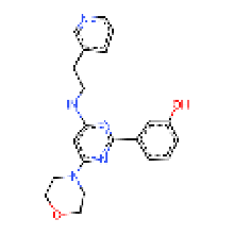 Oc1cccc(-c2nc(NCCc3cccnc3)cc(N3CCOCC3)n2)c1